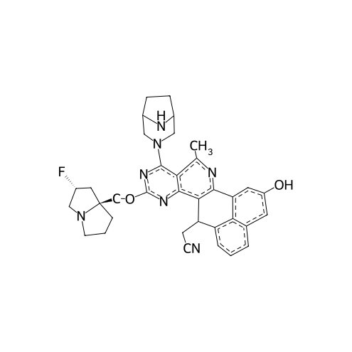 Cc1nc2c(c3nc(OC[C@@]45CCCN4C[C@H](F)C5)nc(N4CC5CCC(C4)N5)c13)C(CC#N)c1cccc3cc(O)cc-2c13